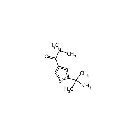 CN(C)C(=O)c1csc(C(C)(C)C)c1